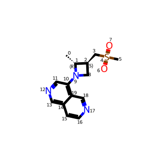 C[C@@H]1[C@@H](CS(C)(=O)=O)CN1c1cncc2ccncc12